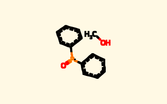 CO.O=[P](c1ccccc1)c1ccccc1